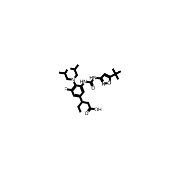 CCC(CC(=O)O)c1cc(F)c(N(CC(C)C)CC(C)C)c(NC(=O)Nc2cc(C(C)(C)C)on2)c1